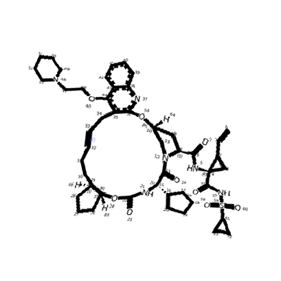 C=CC1C[C@]1(NC(=O)[C@@H]1C[C@@H]2CN1C(=O)[C@H](C1CCCC1)NC(=O)O[C@@H]1CCC[C@H]1CC/C=C/Cc1c(nc3ccccc3c1OCCN1CCCCC1)O2)C(=O)NS(=O)(=O)C1CC1